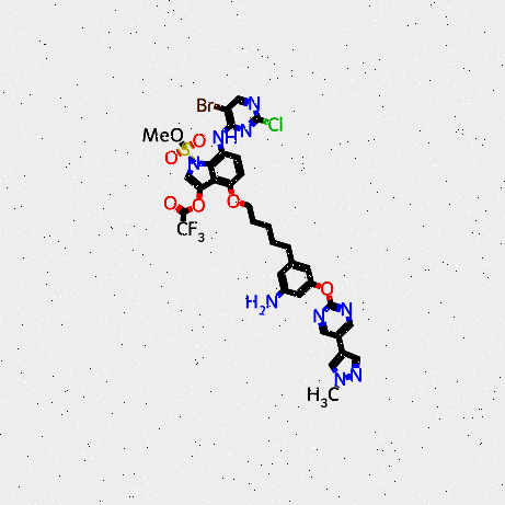 COS(=O)(=O)n1cc(OC(=O)C(F)(F)F)c2c(OCCCCCc3cc(N)cc(Oc4ncc(-c5cnn(C)c5)cn4)c3)ccc(Nc3nc(Cl)ncc3Br)c21